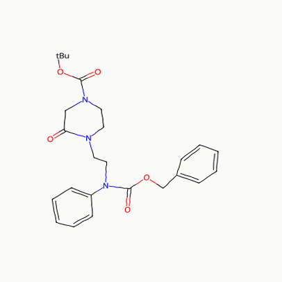 CC(C)(C)OC(=O)N1CCN(CCN(C(=O)OCc2ccccc2)c2ccccc2)C(=O)C1